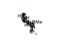 COc1cc2nc(COC(F)(F)F)cn2c(Nc2cc([C@H]3CC[C@@H](OC(=O)NC45CC(C4)C5)[C@H]3F)[nH]n2)n1